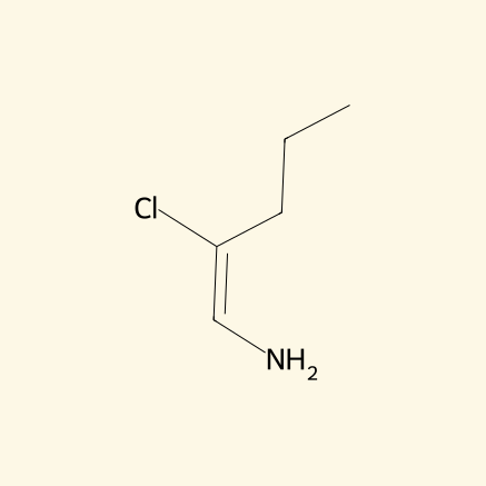 CCC/C(Cl)=C\N